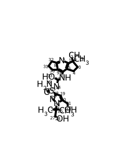 CC1(C)CCc2c1nc1c(c2NC(O)N=S(N)(=O)c2cc(CO)n(C(C)(C)CO)n2)CCC1